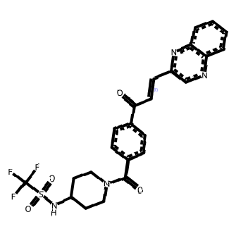 O=C(/C=C/c1cnc2ccccc2n1)c1ccc(C(=O)N2CCC(NS(=O)(=O)C(F)(F)F)CC2)cc1